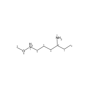 CCC(N)CCC[SiH2]OC